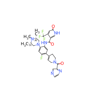 C[C@@H]1CN(c2cc(F)c(C3=CCN(C(=O)c4cnccn4)CC3)cc2NC(=O)c2c[nH]c(=O)cc2C(F)(F)F)C[C@H](C)N1C